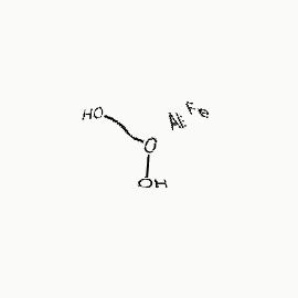 OOO.[Al].[Fe]